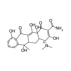 CN(C)[C@H]1C(O)=C(C(N)=O)C(=O)C2(O)C(O)=C3C(=O)c4c(O)cccc4C(C)(O)C3CC12